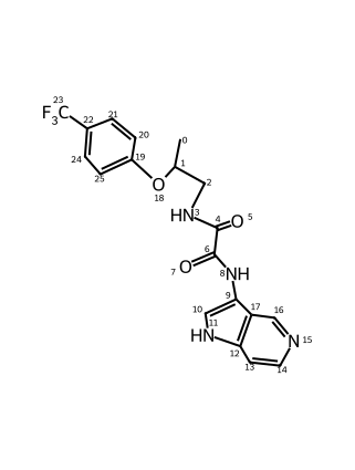 CC(CNC(=O)C(=O)Nc1c[nH]c2ccncc12)Oc1ccc(C(F)(F)F)cc1